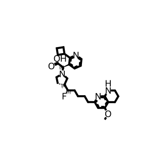 COc1cc(CCCC[C@H](F)[C@@H]2CCN([C@@H](C(=O)O)c3cccnc3C3CCC3)C2)nc2c1CCCN2